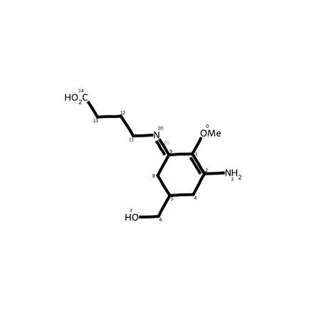 COC1=C(N)CC(CO)C/C1=N\CCCC(=O)O